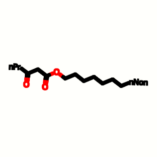 CCCCCCCCCCCCCCCCOC(=O)CC(=O)CCC